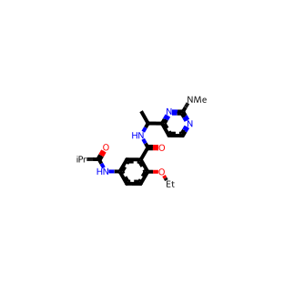 CCOc1ccc(NC(=O)C(C)C)cc1C(=O)NC(C)c1ccnc(NC)n1